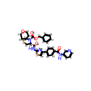 O=C(Nc1cccnc1)c1ccc(-c2csc(NC(=O)[C@@H]3CSC4(CCOCC4)N3C(=O)OCc3ccccc3)n2)cc1